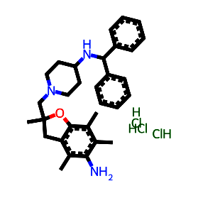 Cc1c(C)c2c(c(C)c1N)CC(C)(CN1CCC(NC(c3ccccc3)c3ccccc3)CC1)O2.Cl.Cl.Cl